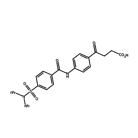 CCCN(CCC)S(=O)(=O)c1ccc(C(=O)Nc2ccc(C(=O)CCC(=O)O)cc2)cc1